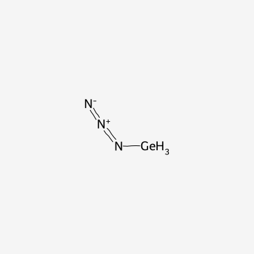 [N-]=[N+]=[N][GeH3]